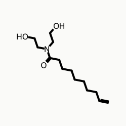 C=CCCCCCCCC(=O)N(CCO)CCO